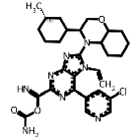 C=Cn1c(N2C(C3CCC[C@H](C)C3)COC3CCCCC32)nc2nc(C(=N)OC(N)=O)nc(-c3cncc(Cl)c3)c21